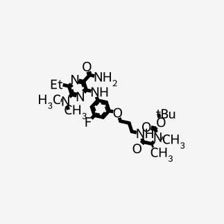 CCc1nc(C(N)=O)c(Nc2cc(F)cc(OCCCNC(=O)[C@H](C)N(C)C(=O)OC(C)(C)C)c2)nc1N(C)C